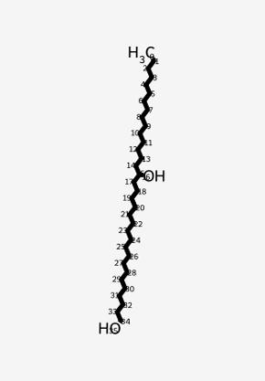 CCCCCCCCCCCCCCCC(O)CCCCCCCCCCCCCCCCCCO